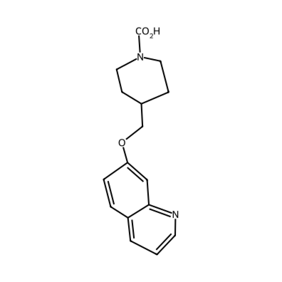 O=C(O)N1CCC(COc2ccc3cccnc3c2)CC1